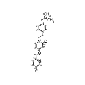 CN(C)Cc1ccc(CCn2ccc(OCc3ccc(Cl)cn3)cc2=O)cc1